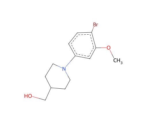 COc1cc(N2CCC(CO)CC2)ccc1Br